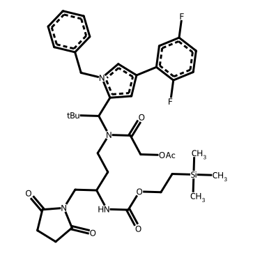 CC(=O)OCC(=O)N(CCC(CN1C(=O)CCC1=O)NC(=O)OCC[Si](C)(C)C)C(c1cc(-c2cc(F)ccc2F)cn1Cc1ccccc1)C(C)(C)C